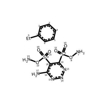 CCc1ccccc1.NOS(=O)(=O)c1nnnc(N)c1S(=O)(=O)ON